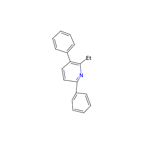 CCc1nc(-c2ccccc2)ccc1-c1ccccc1